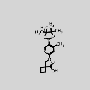 Cc1cc(OCC2(C(=O)O)CCC2)ncc1B1OC(C)(C)C(C)(C)O1